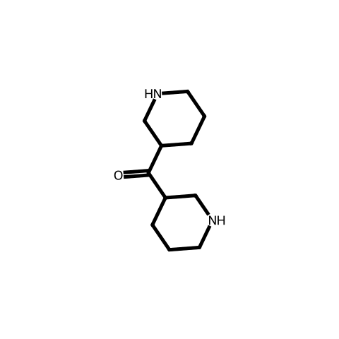 O=C(C1CCCNC1)C1CCCNC1